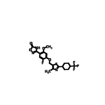 COc1cc(OCc2sc(C3CCC(C(F)(F)F)CC3)nc2C)c(F)cc1-c1noc(=O)[nH]1